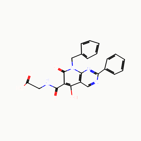 O=C(O)CNC(=O)c1c(O)c2cnc(-c3ccccc3)nc2n(Cc2ccccc2)c1=O